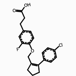 O=C(O)CCc1ccc(OCC2=C(c3ccc(Cl)cc3)CCC2)c(F)c1